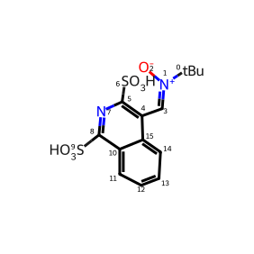 CC(C)(C)[N+]([O-])=Cc1c(S(=O)(=O)O)nc(S(=O)(=O)O)c2ccccc12